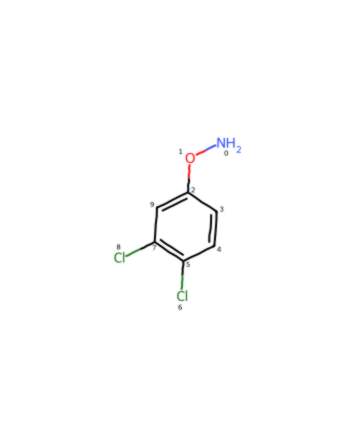 NOc1ccc(Cl)c(Cl)c1